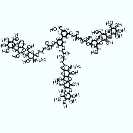 CC(=O)NC1C(O)[C@H](O[C@@H]2OC(CO)[C@H](O)C(O[C@H]3OC(CO)[C@H](O)C(O)C3O)C2O)C(CO)O[C@H]1OCCCNC(=O)COc1cc(OCC(=O)NCCCO[C@@H]2OC(CO)[C@@H](O[C@@H]3OC(CO)[C@H](O)C(O[C@H]4OC(CO)[C@H](O)C(O)[C@H]4O)C3O)C(O)C2NC(C)=O)cc(-c2cc(OCC(=O)NCCCO[C@@H]3OC(CO)[C@@H](O[C@@H]4OC(CO)[C@H](O)C(O[C@H]5OC(CO)[C@H](O)C(O)C5O)C4O)C(O)C3NC(C)=O)cc(C(=O)O)c2)c1